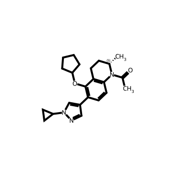 CC(=O)N1c2ccc(-c3cnn(C4CC4)c3)c(OC3CCCC3)c2CC[C@@H]1C